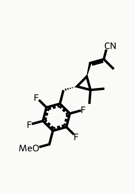 COCc1c(F)c(F)c(C[C@@H]2[C@@H](C=C(C)C#N)C2(C)C)c(F)c1F